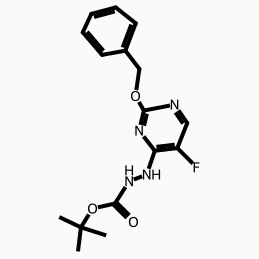 CC(C)(C)OC(=O)NNc1nc(OCc2ccccc2)ncc1F